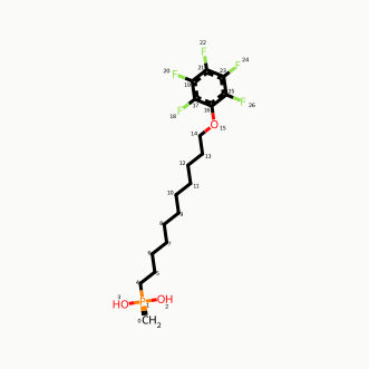 C=P(O)(O)CCCCCCCCCCCOc1c(F)c(F)c(F)c(F)c1F